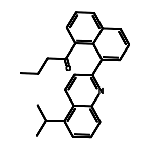 CCCC(=O)c1cccc2cccc(-c3ccc4c(C(C)C)cccc4n3)c12